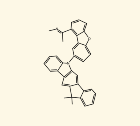 C/N=C(\C)c1cccc2oc3ccc(-n4c5ccccc5c5cc6c(cc54)-c4ccccc4C6(C)C)cc3c12